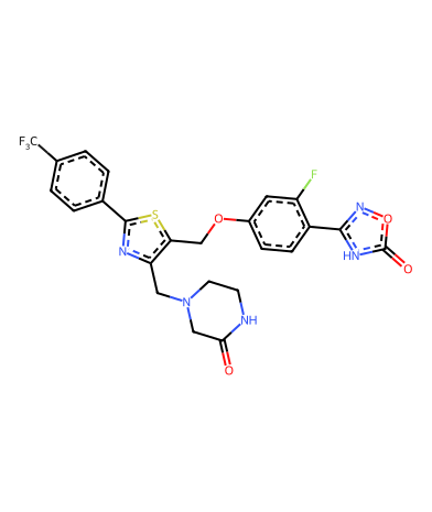 O=C1CN(Cc2nc(-c3ccc(C(F)(F)F)cc3)sc2COc2ccc(-c3noc(=O)[nH]3)c(F)c2)CCN1